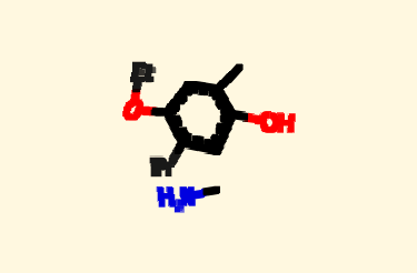 CCOc1cc(C)c(O)cc1C(C)C.CN